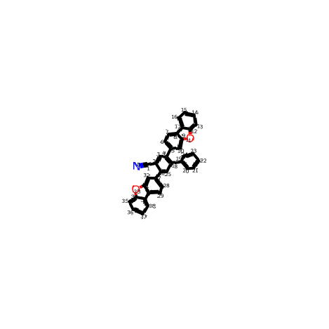 N#Cc1cc(-c2ccc3c(c2)oc2ccccc23)c(-c2ccccc2)cc1-c1ccc2c(c1)oc1ccccc12